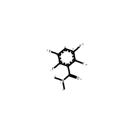 CN(C)C(=O)c1c(F)c(F)cc(F)c1F